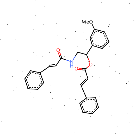 COc1cccc(C(CNC(=O)C=Cc2ccccc2)OC(=O)C=Cc2ccccc2)c1